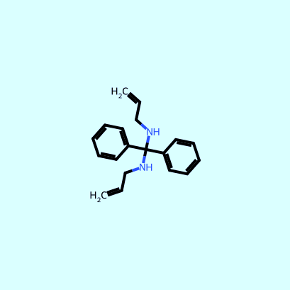 C=CCNC(NCC=C)(c1ccccc1)c1ccccc1